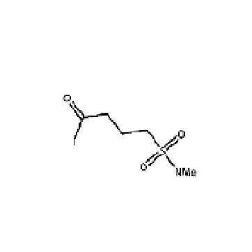 CNS(=O)(=O)CCCC(=O)I